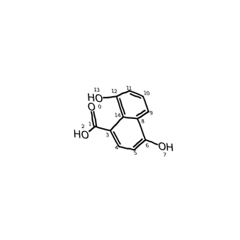 O=C(O)c1ccc(O)c2cccc(O)c12